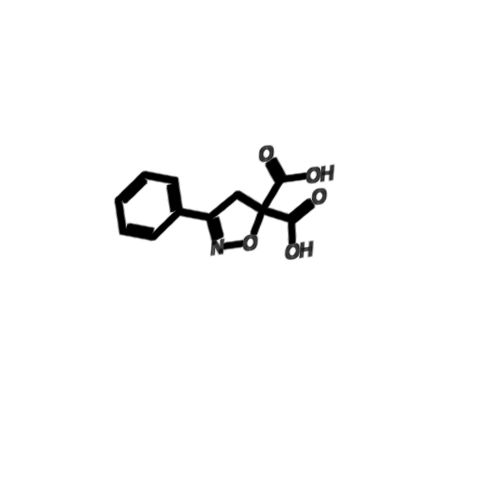 O=C(O)C1(C(=O)O)CC(c2ccccc2)=NO1